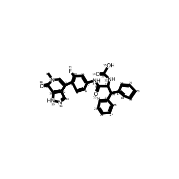 Cn1cc(-c2ccc(NC(=O)C(NC(=O)O)C(c3ccccc3)c3ccccc3)cc2F)c2cn[nH]c2c1=O